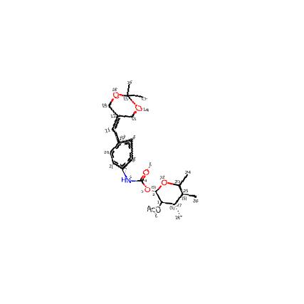 CC(=O)OC1[C@H](OC(=O)Nc2ccc(C=C3COC(C)(C)OC3)cc2)OC(C)[C@@H](C)[C@@H]1C